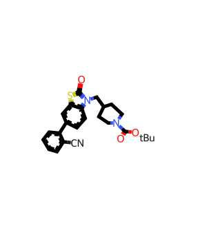 CC(C)(C)OC(=O)N1CCC(Cn2c(=O)sc3cc(-c4ccccc4C#N)ccc32)CC1